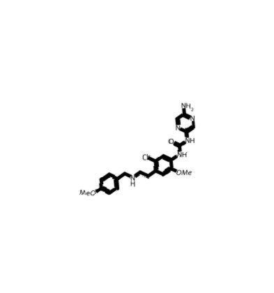 COc1ccc(CNCCc2cc(OC)c(NC(=O)Nc3cnc(N)cn3)cc2Cl)cc1